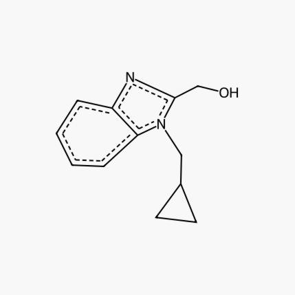 OCc1nc2ccccc2n1CC1CC1